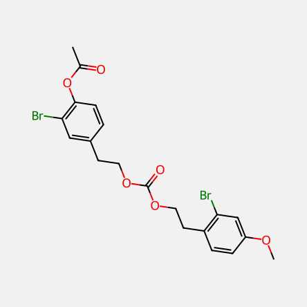 COc1ccc(CCOC(=O)OCCc2ccc(OC(C)=O)c(Br)c2)c(Br)c1